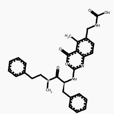 Cc1c(CNC(=O)O)ccc2nc(N[C@@H](Cc3ccccc3)C(=O)N(C)CCc3ccccc3)oc(=O)c12